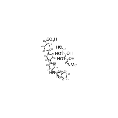 CNC[C@H](O)[C@@H](O)[C@H](O)[C@H](O)CO.O=C(O)CC1CCC(c2ccc(-c3ccc(Nc4nc5ccccc5o4)cn3)cc2)CC1